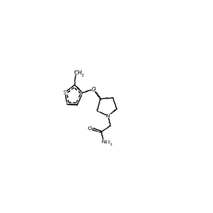 Cc1sccc1OC1CCN(CC(N)=O)C1